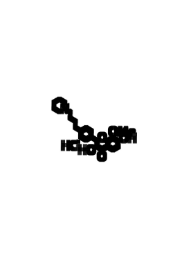 COc1c(O)ccc2c(=O)c(O)c(-c3ccc(CCCCN4CCCCC4)cc3)oc12.Cl